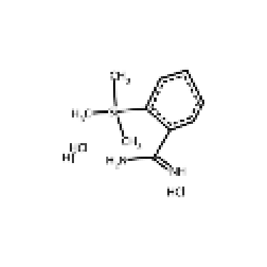 C[Si](C)(C)c1ccccc1C(=N)N.Cl.Cl.[Hf]